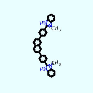 CN1c2ccccc2NC1c1ccc(-c2ccc3ccc(-c4ccc(C5Nc6ccccc6N5C)cc4)cc3c2)cc1